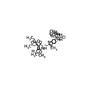 [2H]C([2H])(Cl)C([2H])([2H])N(c1ccc2c(c1)nc(CC[C@H](NC(=O)OC(C)(C)C)C(=O)N[C@@H](CC(C)C)C(=O)OCC)n2C)C([2H])([2H])C([2H])([2H])Cl